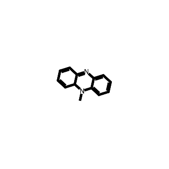 CN1c2ccccc2N=C2C=CC=CC21